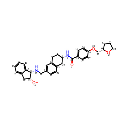 O=C(N[C@H]1CCc2cc(CN[C@H]3c4ccccc4C[C@H]3O)ccc2C1)c1ccc(OC[C@@H]2CCCO2)cc1